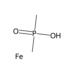 CP(C)(=O)O.[Fe]